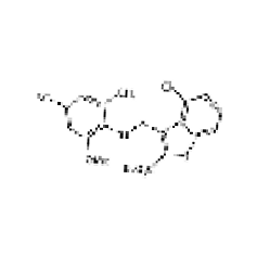 CCOC(=O)c1sc2cccc(Cl)c2c1COc1c(C)cc(C#N)cc1OC